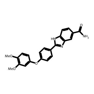 COc1ccc(Oc2ccc(-c3nc4cc(C(N)=O)ccc4[nH]3)cc2)cc1OC